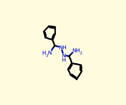 NC(NNC(N)c1ccccc1)c1ccccc1